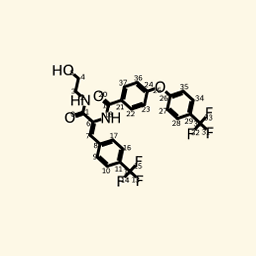 O=C(NCCO)C(=Cc1ccc(C(F)(F)F)cc1)NC(=O)c1ccc(Oc2ccc(C(F)(F)F)cc2)cc1